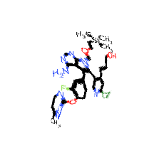 Cc1ccnc(Oc2ccc(-c3c(-c4cnc(Cl)cc4CCCO)n(COCC[Si](C)(C)C)c4ncnc(N)c34)cc2F)n1